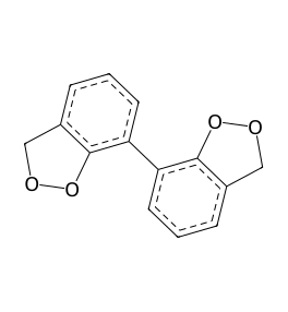 c1cc2c(c(-c3cccc4c3OOC4)c1)OOC2